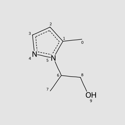 Cc1ccnn1C(C)CO